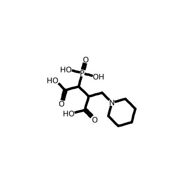 O=C(O)C(CN1CCCCC1)C(C(=O)O)P(=O)(O)O